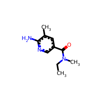 CCN(C)C(=O)c1cnc(N)c(C)c1